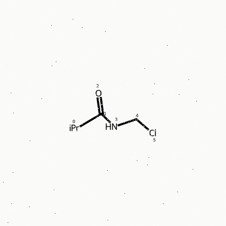 CC(C)C(=O)NCCl